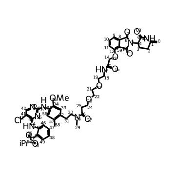 C=C1CCC(N2C(=O)c3cccc(OCC(=O)NCCOCCOCCC(=O)N(C)CCc4cc(OC)c(Nc5ncc(Cl)c(Nc6ccccc6S(=O)(=O)C(C)C)n5)cc4C)c3C2=O)C(=O)N1